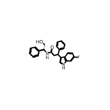 O=C(CC(c1ccccc1)c1c[nH]c2cc(F)ccc12)N[C@@H](CO)c1ccccc1